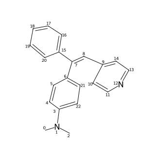 CN(C)c1ccc(/C(=C\c2ccncc2)c2ccccc2)cc1